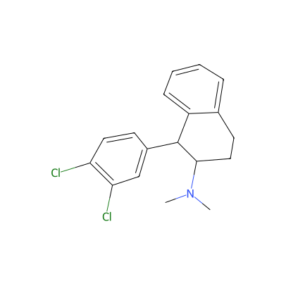 CN(C)C1CCc2ccccc2C1c1ccc(Cl)c(Cl)c1